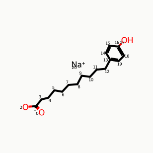 O=C([O-])CCCCCCCCCCc1ccc(O)cc1.[Na+]